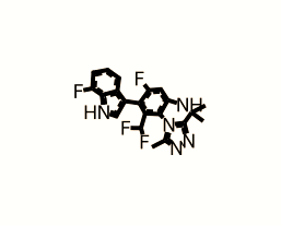 Cc1nnc2n1-c1c(cc(F)c(-c3c[nH]c4c(F)cccc34)c1C(F)F)NC2(C)C